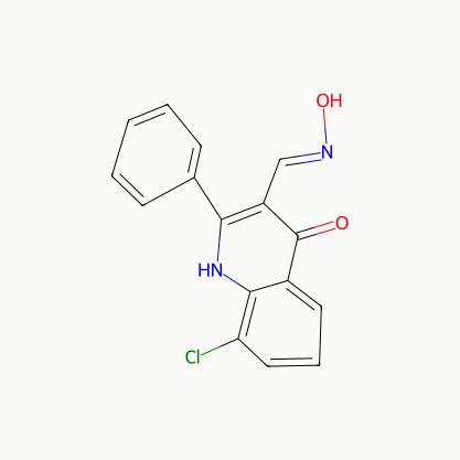 O=c1c(C=NO)c(-c2ccccc2)[nH]c2c(Cl)cccc12